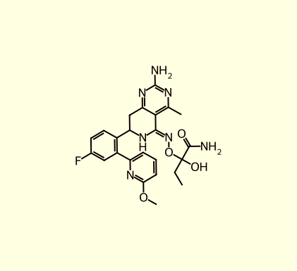 CCC(O)(ON=C1NC(c2ccc(F)cc2-c2cccc(OC)n2)Cc2nc(N)nc(C)c21)C(N)=O